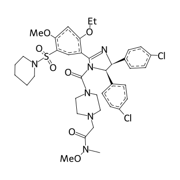 CCOc1cc(OC)c(S(=O)(=O)N2CCCCC2)cc1C1=N[C@@H](c2ccc(Cl)cc2)[C@@H](c2ccc(Cl)cc2)N1C(=O)N1CCN(CC(=O)N(C)OC)CC1